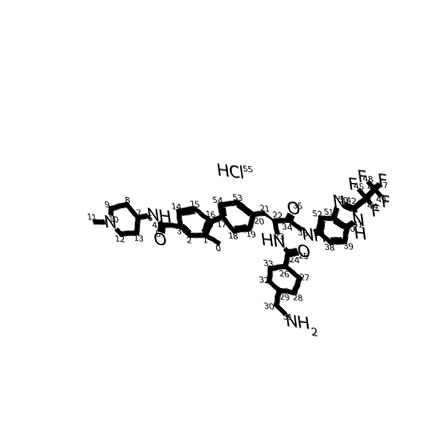 Cc1cc(C(=O)NC2CCN(C)CC2)ccc1-c1ccc(C[C@H](NC(=O)C2CCC(CN)CC2)C(=O)Nc2ccc3[nH]c(C(F)(F)C(F)(F)F)nc3c2)cc1.Cl